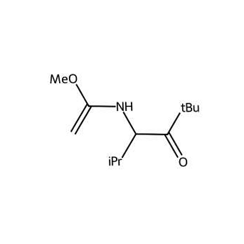 C=C(NC(C(=O)C(C)(C)C)C(C)C)OC